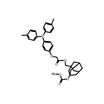 Cc1ccc([S+](c2ccc(C)cc2)c2ccc(OCC(=O)OCC34CC5CC(C3)CC(OC(=O)OC(C)(C)C)(C5)C4)cc2)cc1